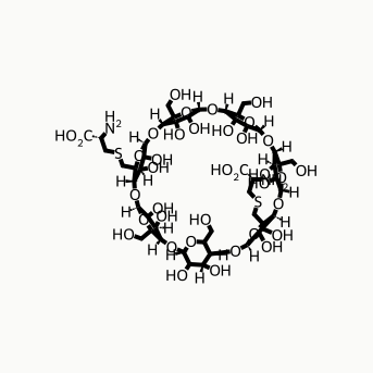 N[C@H](CSCC1O[C@@H]2O[C@@H]3C(CO)O[C@@H](O[C@@H]4C(CO)O[C@@H](O[C@@H]5C(CSC[C@@H](N)C(=O)O)O[C@@H](O[C@@H]6C(CO)O[C@H](O[C@@H]7C(CO)O[C@H](O[C@@H]8C(CO)O[C@H](O[C@H]1C(O)C2O)C(O)[C@H]8O)C(O)C7O)C(O)C6O)C(O)[C@H]5O)C(O)[C@H]4O)C(O)[C@H]3O)C(=O)O